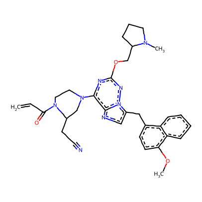 C=CC(=O)N1CCN(c2nc(OCC3CCCN3C)nn3c(Cc4ccc(OC)c5ccccc45)cnc23)CC1CC#N